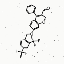 O=CC1=C(c2ccccc2)c2ccc(OCc3ccc(C(F)(F)F)cc3C(F)(F)F)cc2OC1